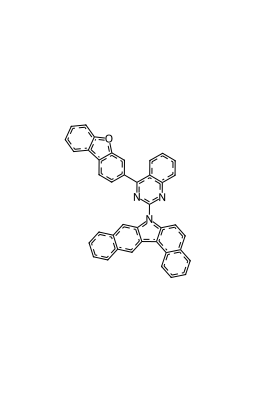 c1ccc2cc3c(cc2c1)c1c2ccccc2ccc1n3-c1nc(-c2ccc3c(c2)oc2ccccc23)c2ccccc2n1